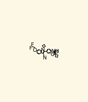 N#Cc1c(-c2ccc(NS(=O)(=O)C3CCC3)cc2)n(C2CCC2)c2cc(OCC(F)F)ccc12